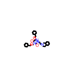 O=c1c(OCc2ccccc2)nn(CCN2CCc3ccccc3C2)c(=O)n1COCc1ccccc1